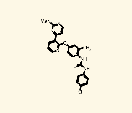 CNc1nccc(-c2cccnc2Oc2ccc(NC(=O)Nc3ccc(Cl)cc3)c(C)c2)n1